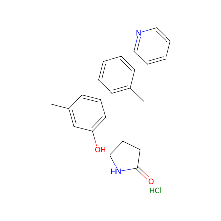 Cc1cccc(O)c1.Cc1ccccc1.Cl.O=C1CCCN1.c1ccncc1